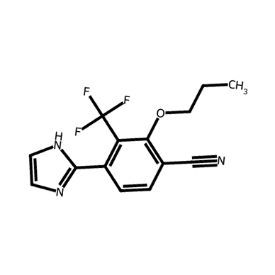 CCCOc1c(C#N)ccc(-c2ncc[nH]2)c1C(F)(F)F